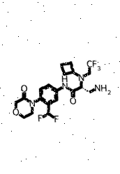 NC[C@H](C(=O)Nc1ccc(N2CCOCC2=O)c(C(F)F)c1)N(CC(F)(F)F)C1CCC1